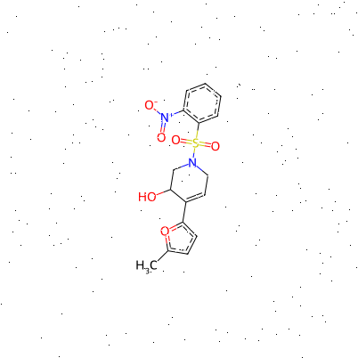 Cc1ccc(C2=CCN(S(=O)(=O)c3ccccc3[N+](=O)[O-])CC2O)o1